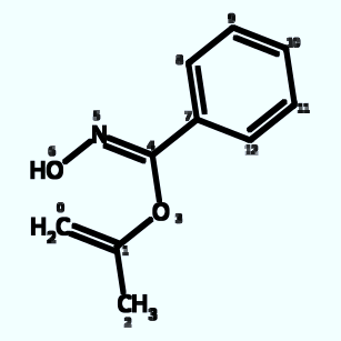 C=C(C)OC(=NO)c1ccccc1